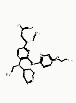 CCOc1ccc(Nc2cc([C@@H](CC)CC(=O)O)ccc2N(CC)C2CCOCC2)nc1